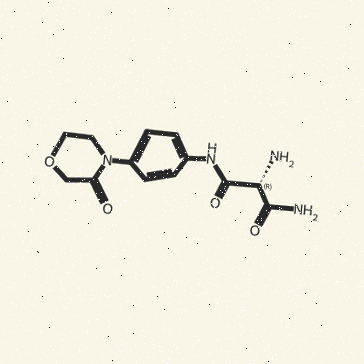 NC(=O)[C@@H](N)C(=O)Nc1ccc(N2CCOCC2=O)cc1